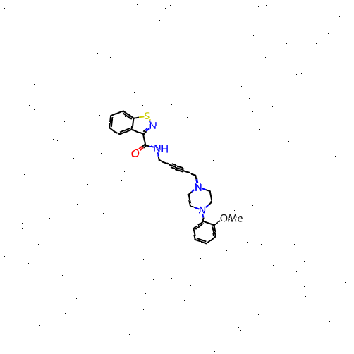 COc1ccccc1N1CCN(CC#CCNC(=O)c2nsc3ccccc23)CC1